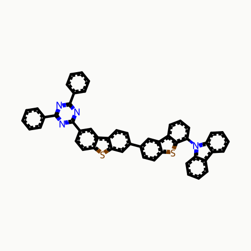 c1ccc(-c2nc(-c3ccccc3)nc(-c3ccc4sc5cc(-c6ccc7sc8c(-n9c%10ccccc%10c%10ccccc%109)cccc8c7c6)ccc5c4c3)n2)cc1